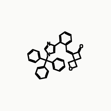 O=C1CC2(COC2)C1=Cc1ccccc1-c1cn(C(c2ccccc2)(c2ccccc2)c2ccccc2)cn1